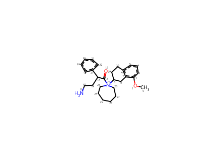 COc1cccc2c1CC([N+]1(C(=O)C(CCN)c3ccccc3)CCCCCC1)CC2